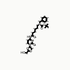 CC(C)(C)OC(=O)N(CCCCCC(=O)Nc1ccn(C2COC(CO)O2)c(=O)n1)Cc1ccccc1